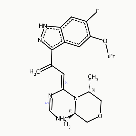 C=C(/C=C(\N=C/N)N1[C@H](C)COC[C@H]1C)c1n[nH]c2cc(F)c(OC(C)C)cc12